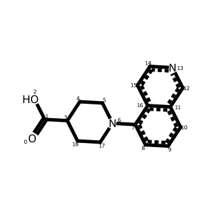 O=C(O)C1CCN(c2cccc3cnccc23)CC1